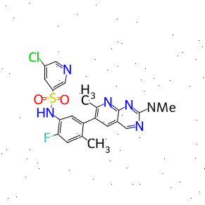 CNc1ncc2cc(-c3cc(NS(=O)(=O)c4cncc(Cl)c4)c(F)cc3C)c(C)nc2n1